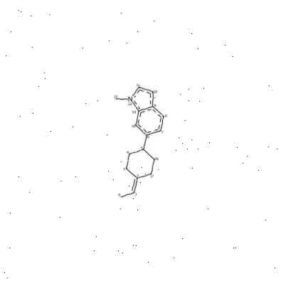 CC=C1CCC(c2ccc3ccn(C)c3c2)CC1